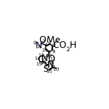 C/N=C(\OC)c1cc(C(=O)O)cc(C(=O)N2CCC[C@@H]2c2nc(C)cs2)c1